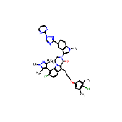 Cc1cc(OCCCc2c3n(c4c(-c5c(C)nn(C)c5C)c(Cl)ccc24)[C@H](C)CN(c2cn(C)c4ccc(-c5ncn(-c6ncccn6)n5)cc24)C3=O)cc(C)c1Cl